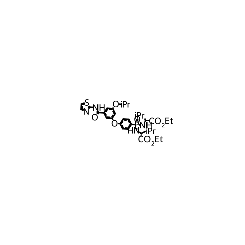 CCOC(=O)[C@@H](NP(=O)(N[C@H](C(=O)OCC)C(C)C)c1ccc(Oc2cc(OC(C)C)cc(C(=O)Nc3nccs3)c2)cc1)C(C)C